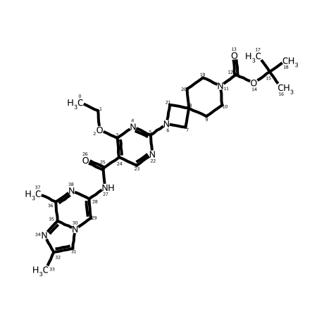 CCOc1nc(N2CC3(CCN(C(=O)OC(C)(C)C)CC3)C2)ncc1C(=O)Nc1cn2cc(C)nc2c(C)n1